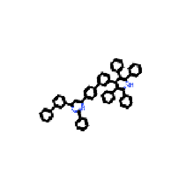 c1ccc(C2=C(c3ccccc3)C(c3cccc(-c4ccc(-c5cc(-c6cccc(-c7ccccc7)c6)nc(-c6ccccc6)n5)cc4)c3)=C(c3ccccc3)C(c3ccccc3)N2)cc1